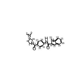 CN(C)C1CCN(C(=O)c2ccc(NC(=O)c3cc4ccccc4n3C)cc2)C1